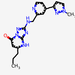 CCCc1cc(=O)n2nc(NCc3cc(-c4ccn(C)n4)ccn3)nc2[nH]1